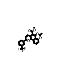 COC(=O)c1c2c(c3ccccc3c1OC(C)=O)OC(c1cccc(C(F)(F)F)c1)C=C2